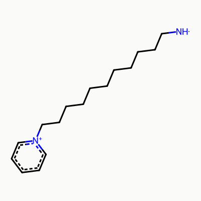 [NH]CCCCCCCCCCC[n+]1ccccc1